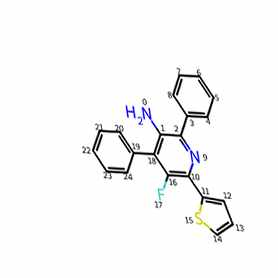 Nc1c(-c2ccccc2)nc(-c2cccs2)c(F)c1-c1ccccc1